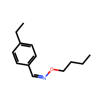 CCCCO/N=[C]\c1ccc(CC)cc1